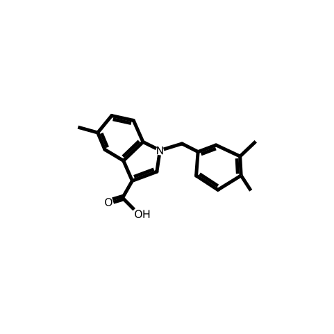 Cc1ccc2c(c1)c(C(=O)O)cn2Cc1ccc(C)c(C)c1